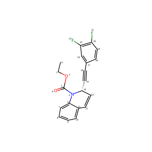 CCOC(=O)N1c2ccccc2C=C[C@H]1C#Cc1ccc(F)c(F)c1